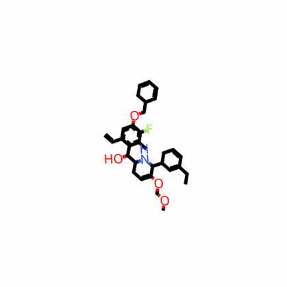 C=Cc1cc(OCC2C=CC=CC2)c(F)c(C)c1C(O)C1CC=C(OCOC)C(C2C=C(CC)C=CC2)N1